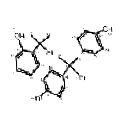 CCC(C)(C)c1ccc(O)cc1.CCC(C)(C)c1ccccc1O.Oc1ccccc1